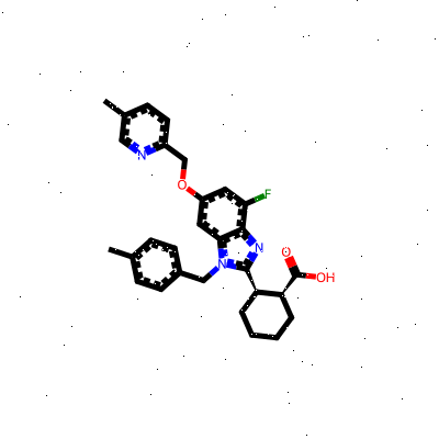 Cc1ccc(Cn2c([C@@H]3CCCC[C@@H]3C(=O)O)nc3c(F)cc(OCc4ccc(C)cn4)cc32)cc1